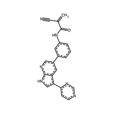 C=C(C#N)C(=O)Nc1cccc(-c2cnc3[nH]cc(-c4ccncn4)c3c2)c1